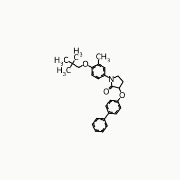 Cc1cc(N2CCC(Oc3ccc(-c4ccccc4)cc3)C2=O)ccc1OCC(C)(C)C